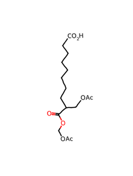 CC(=O)OCOC(=O)C(CCCCCCCC(=O)O)COC(C)=O